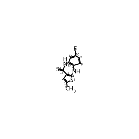 Cc1cc2c(s1)Nc1ccc(F)cc1NC2=S